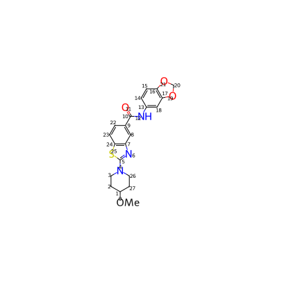 COC1CCN(c2nc3cc(C(=O)Nc4ccc5c(c4)OCO5)ccc3s2)CC1